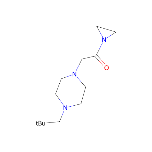 CC(C)(C)CN1CCN(CC(=O)N2CC2)CC1